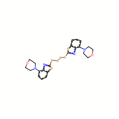 c1cc(N2CCOCC2)c2nc(SSSSc3nc4c(N5CCOCC5)cccc4s3)sc2c1